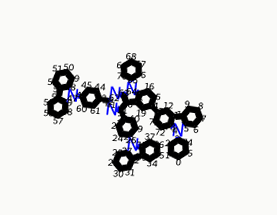 c1ccc(-n2c3ccccc3c3cc(-c4ccc5c(c4)c4c(-c6ccc(-n7c8ccccc8c8ccccc87)cc6)nc(-c6ccc(-n7c8ccccc8c8ccccc87)cc6)nc4n5-c4ccccc4)ccc32)cc1